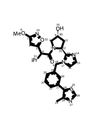 COc1cc(C(C(=O)N2C[C@H](O)C[C@H]2c2nccn2Cc2cccc(-c3scnc3C)c2)C(C)C)on1